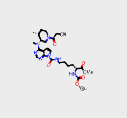 COC(=O)[C@H](CCCCNC(=O)n1ccc2c(N(C)[C@H]3CN(C(=O)CC#N)CC[C@H]3C)ncnc21)NC(=O)OC(C)(C)C